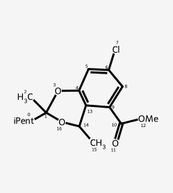 CCCC(C)C1(C)Oc2cc(Cl)cc(C(=O)OC)c2C(C)O1